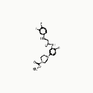 CC(C)(C)OC(=O)N1CCN(c2ccc(Cl)c(NC(=O)CNc3ccc(F)c(F)c3)c2)CC1